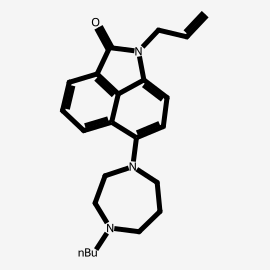 C=CCN1C(=O)c2cccc3c(N4CCCN(CCCC)CC4)ccc1c23